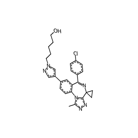 Cc1nnc2n1-c1ccc(-c3cnn(CCCCCO)c3)cc1C(c1ccc(Cl)cc1)=NC21CC1